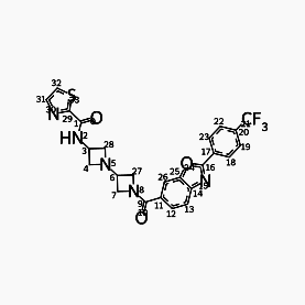 O=C(NC1CN(C2CN(C(=O)c3ccc4nc(-c5ccc(C(F)(F)F)cc5)oc4c3)C2)C1)c1nccs1